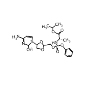 CC(C)OC(=O)[C@H](C)NP(=O)(OC[C@H]1OC[C@@H](N2C=CC(N)=NC2O)O1)Oc1ccccc1